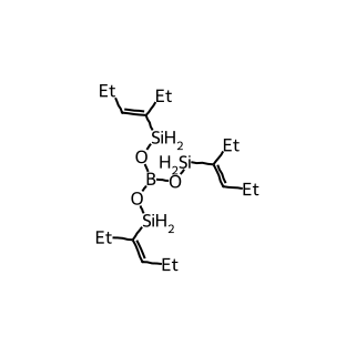 CCC=C(CC)[SiH2]OB(O[SiH2]C(=CCC)CC)O[SiH2]C(=CCC)CC